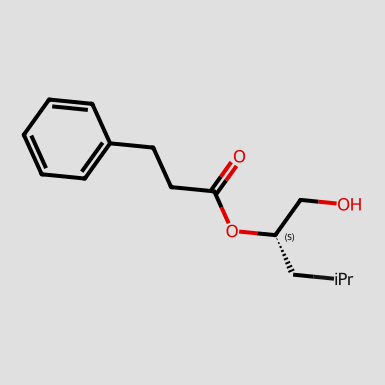 CC(C)C[C@@H](CO)OC(=O)CCc1ccccc1